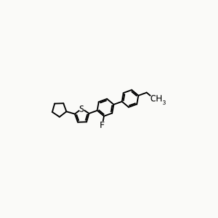 CCc1ccc(-c2ccc(-c3ccc(C4CCCC4)s3)c(F)c2)cc1